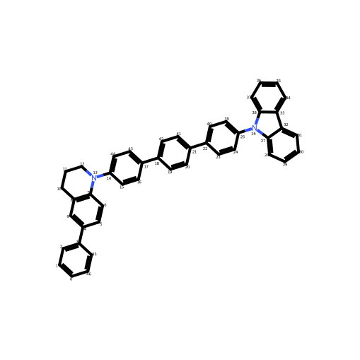 c1ccc(-c2ccc3c(c2)CCCN3c2ccc(-c3ccc(-c4ccc(-n5c6ccccc6c6ccccc65)cc4)cc3)cc2)cc1